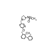 CC(=O)N[C@H]1CCN(Cc2ccc(OCc3cccc(-c4ccccc4)c3C)nc2)C1